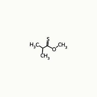 COC(=S)C(C)C